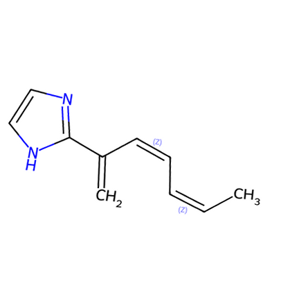 C=C(/C=C\C=C/C)c1ncc[nH]1